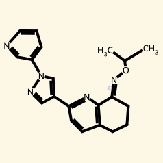 CC(C)O/N=C1\CCCc2ccc(-c3cnn(-c4cccnc4)c3)nc21